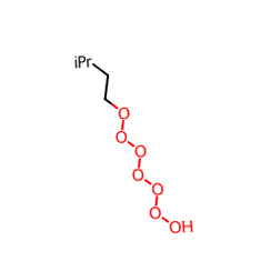 CC(C)CCOOOOOOO